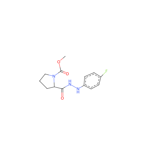 COC(=O)N1CCCC1C(=O)NNc1ccc(F)cc1